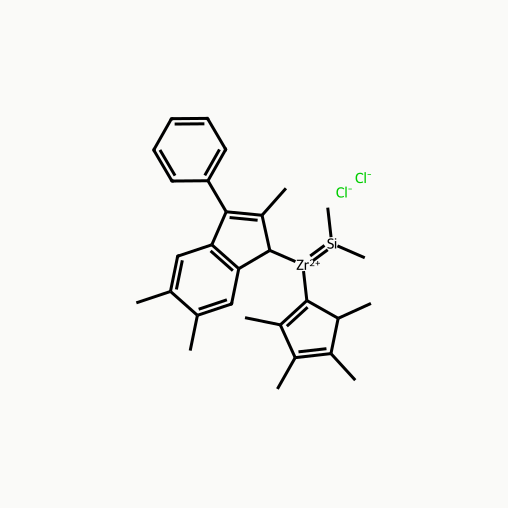 CC1=C(C)C(C)[C]([Zr+2]([CH]2C(C)=C(c3ccccc3)c3cc(C)c(C)cc32)=[Si](C)C)=C1C.[Cl-].[Cl-]